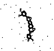 Fc1ccc(N2COc3cc4cc5c(cc4cc3C2)CN(c2ccc(F)c(F)c2)CO5)cc1F